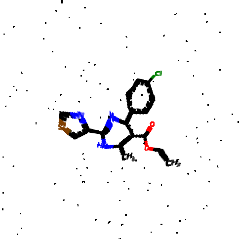 CCOC(=O)C1=C(C)NC(c2cscn2)=NC1c1ccc(Cl)cc1